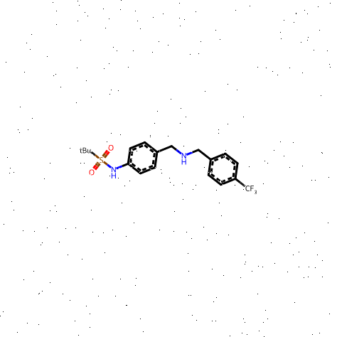 CC(C)(C)S(=O)(=O)Nc1ccc(CNCc2ccc(C(F)(F)F)cc2)cc1